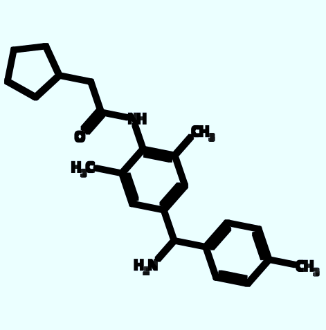 Cc1ccc(C(N)c2cc(C)c(NC(=O)CC3CCCC3)c(C)c2)cc1